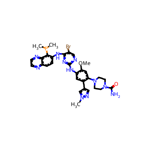 COc1cc(N2CCN(C(N)=O)CC2)c(-c2cnn(C)c2)cc1Nc1ncc(Br)c(Nc2ccc3nccnc3c2P(C)C)n1